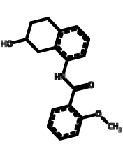 COc1ccccc1C(=O)Nc1cccc2c1CC(O)CC2